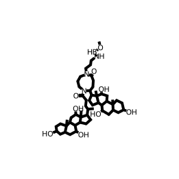 COBNCCCN1CCCN(C(=O)CCC(C)C2CCC3C4C(O)CC5CC(O)CCC5(C)C4CC(O)C23C)C(C2CCC3C4C(O)CC5CC(O)CCC5(C)C4CC(O)C32C)CCC1=O